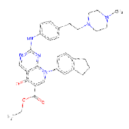 CCOC(=O)c1cn(-c2ccc3c(c2)CCC3)c2nc(Nc3ccc(CCN4CCN(C)CC4)cc3)ncc2c1=O